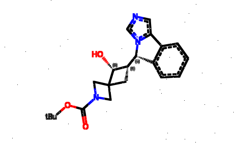 CC(C)(C)OC(=O)N1CC2(C[C@@H]([C@H]3c4ccccc4-c4cncn43)[C@H]2O)C1